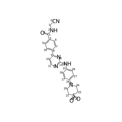 N#CCNC(=O)c1ccc(-c2ccnc(Nc3ccc(N4CCS(=O)(=O)CC4)cc3)n2)cc1